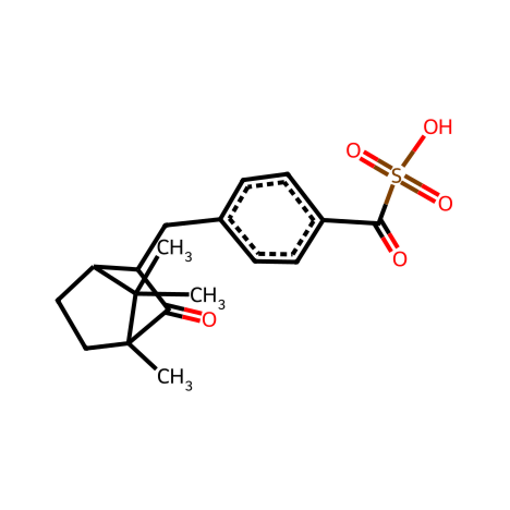 CC12CCC(C(Cc3ccc(C(=O)S(=O)(=O)O)cc3)C1=O)C2(C)C